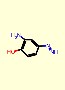 N=Nc1ccc(O)c(N)c1